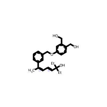 CCC(O)(/C=C/C=C(/C)c1cccc(COc2ccc(CO)c(CO)c2)c1)CC